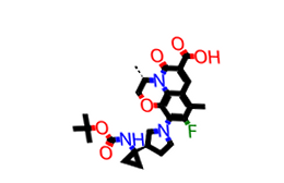 Cc1c(F)c(N2CC[C@@H](C3(NC(=O)OC(C)(C)C)CC3)C2)c2c3c1cc(C(=O)O)c(=O)n3[C@@H](C)CO2